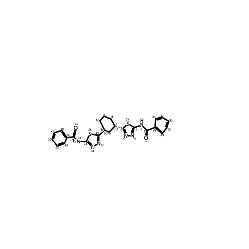 O=C(Nc1nnc([C@H]2CCC[C@H](c3nnc(NC(=O)c4ccccc4)s3)C2)s1)c1ccccc1